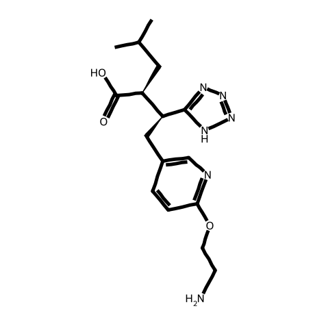 CC(C)C[C@H](C(=O)O)[C@H](Cc1ccc(OCCN)nc1)c1nnn[nH]1